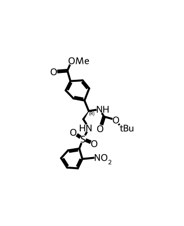 COC(=O)c1ccc([C@H](CNS(=O)(=O)c2ccccc2[N+](=O)[O-])NC(=O)OC(C)(C)C)cc1